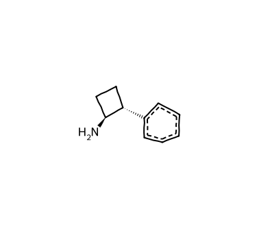 N[C@H]1CC[C@@H]1c1ccccc1